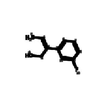 BC=C(CO)c1cccc(F)c1